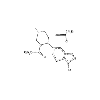 CCOC(=O)C(=O)Cl.CCOC(=O)C(=O)N1CC(C)CCC1c1ccc2c(cnn2CC)c1